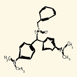 CN(C)c1ccc(C(OS(=O)Cc2ccccc2)c2ccc(N(C)C)cc2)cc1